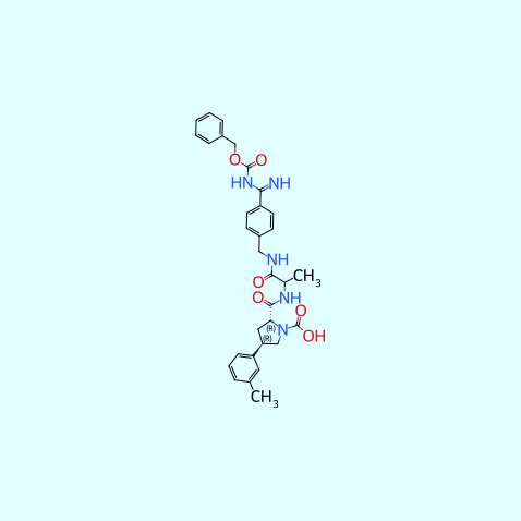 Cc1cccc([C@H]2C[C@H](C(=O)NC(C)C(=O)NCc3ccc(C(=N)NC(=O)OCc4ccccc4)cc3)N(C(=O)O)C2)c1